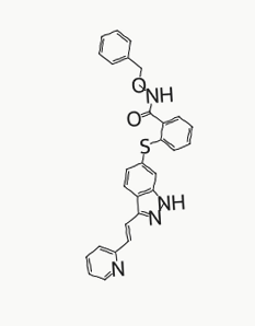 O=C(NOCc1ccccc1)c1ccccc1Sc1ccc2c(/C=C/c3ccccn3)n[nH]c2c1